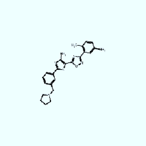 Cc1ccc(N)cc1-c1noc(-c2sc(-c3cccc(CN4CCCC4)c3)nc2N)n1